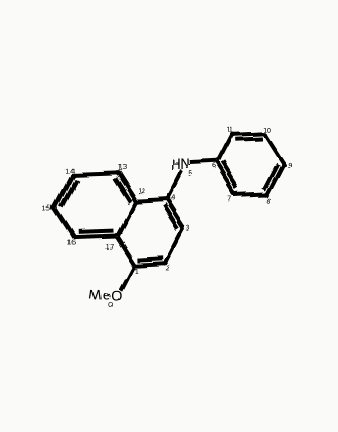 COc1ccc(Nc2ccccc2)c2ccccc12